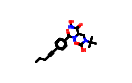 CCCC#Cc1ccc(C(=O)NC(CN(C(=O)O)C(C)(C)C)C(=O)NO)cc1